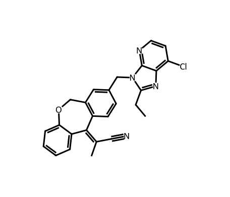 CCc1nc2c(Cl)ccnc2n1Cc1ccc2c(c1)COc1ccccc1C2=C(C)C#N